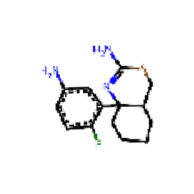 NC1=NC2(c3cc(N)ccc3F)CCCCC2CS1